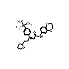 CC(C)(C)c1ccc(/C(=C\C(=O)Nc2ccc3c(c2)OCCO3)CCC2OCCO2)cc1